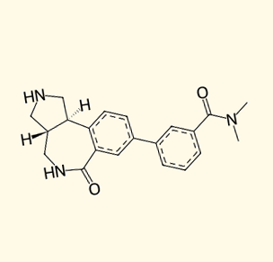 CN(C)C(=O)c1cccc(-c2ccc3c(c2)C(=O)NC[C@@H]2CNC[C@@H]32)c1